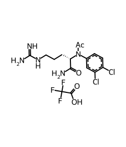 CC(=O)N(c1ccc(Cl)c(Cl)c1)[C@@H](CCCNC(=N)N)C(N)=O.O=C(O)C(F)(F)F